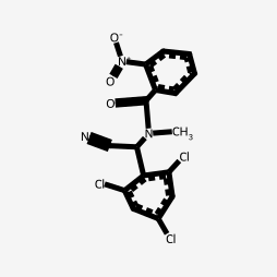 CN(C(=O)c1ccccc1[N+](=O)[O-])C(C#N)c1c(Cl)cc(Cl)cc1Cl